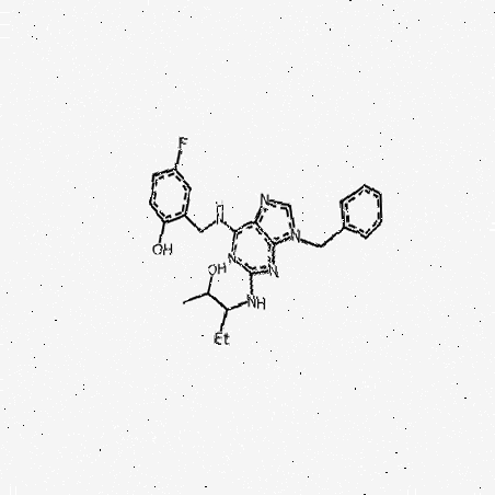 CCC(Nc1nc(NCc2cc(F)ccc2O)c2ncn(Cc3ccccc3)c2n1)C(C)O